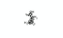 [2H]Cc1cc(O)ccc1C[C@H](N)C(=O)OC(=O)OC(C)(C)C